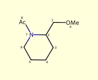 COCC1CCCCN1C(C)=O